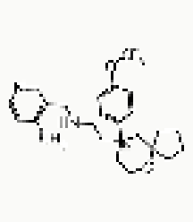 Cc1ccncc1CNCC[C@@]1(c2ccc(OC(F)(F)F)cc2)CCOC2(CCCC2)C1